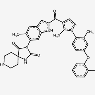 Cc1cc2cc(C(=O)c3cnn(-c4ccc(Oc5ccccc5F)cc4C)c3N)[nH]c2cc1N1C(=O)NC2(CCNCC2)C1=O